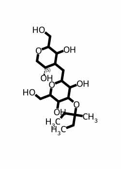 CCC(C)(CC)OC1C(O)C(CO)OC(CC2C(O)C(CO)OC[C@H]2O)C1O